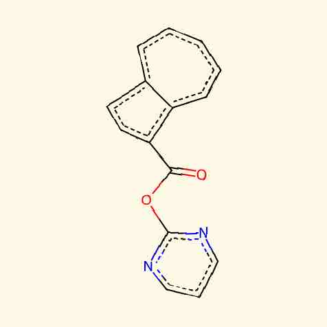 O=C(Oc1ncccn1)c1ccc2cccccc1-2